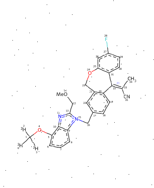 [2H]C([2H])([2H])Oc1cccc2c1nc(COC)n2Cc1ccc2c(c1)COc1cc(F)ccc1/C2=C(\C)C#N